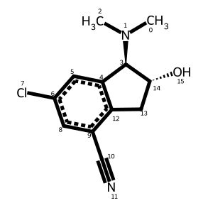 CN(C)[C@@H]1c2cc(Cl)cc(C#N)c2C[C@H]1O